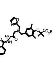 CCOC(=O)C(C)(C)Oc1c(C)cc(CN(CC(=O)NNC(=O)c2ccccc2)Cc2ncco2)cc1C